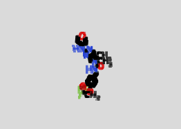 CC1(C)c2cnc(NC3CCOCC3)nc2CN1C(=O)NCc1ccc(S(=O)(=O)C(C)(F)F)cc1